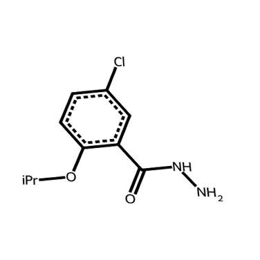 CC(C)Oc1ccc(Cl)cc1C(=O)NN